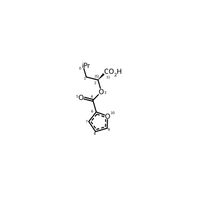 CC(C)C[C@H](OC(=O)c1ccco1)C(=O)O